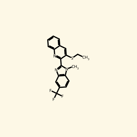 CCSc1cc2ccccc2nc1-c1nc2cc(C(F)(F)F)ccc2n1C